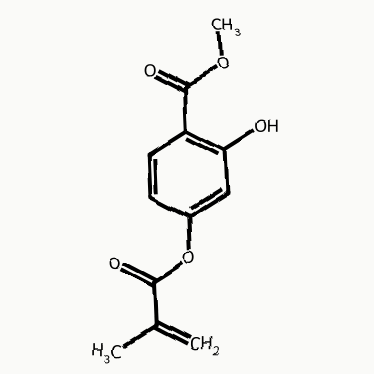 C=C(C)C(=O)Oc1ccc(C(=O)OC)c(O)c1